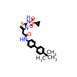 CC(C)(C)c1ccc(-c2ccc(NC(=O)Cc3csc(NS(=O)(=O)C4CC4)n3)cc2)cc1